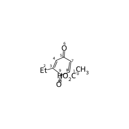 CC(=O)O.CCC1=CC(=O)C=CC1=O